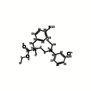 CCOC(=O)[N+](C)(CCN(CC)c1ccccc1)Cc1ccc(F)cc1.[Cl-]